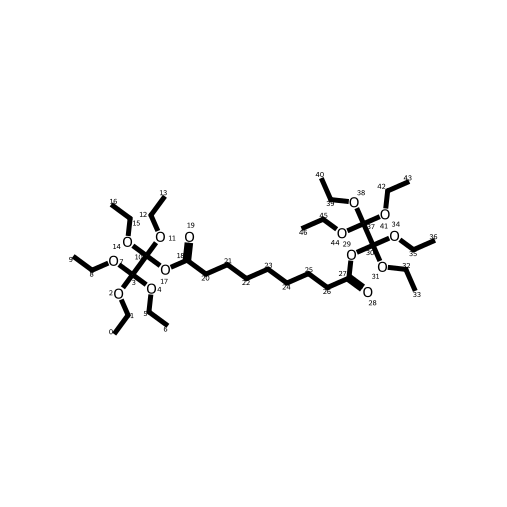 CCOC(OCC)(OCC)C(OCC)(OCC)OC(=O)CCCCCCCC(=O)OC(OCC)(OCC)C(OCC)(OCC)OCC